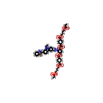 C=CC(=O)OCCCCOC(=O)C1CCC(C(=O)Oc2ccc(OC(=O)C3CCC(C(=O)OCCCCOC(=O)C=C)CC3)c(/N=C/c3ccc4c(c3)c3ccc(-c5nc6ccccc6s5)cc3n4C=C)c2)CC1